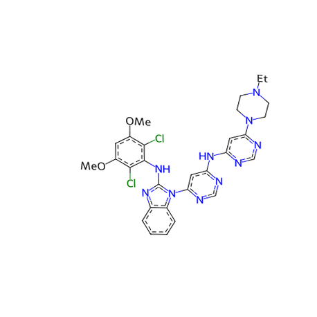 CCN1CCN(c2cc(Nc3cc(-n4c(Nc5c(Cl)c(OC)cc(OC)c5Cl)nc5ccccc54)ncn3)ncn2)CC1